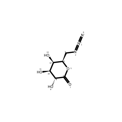 [N-]=[N+]=NC[C@H]1OC(=O)[C@H](O)[C@@H](O)[C@H]1O